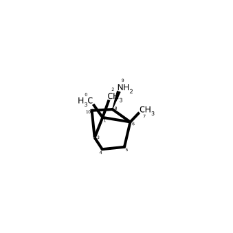 CC1(C)C2CCC1(C)[C@H](N)C2